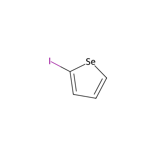 Ic1ccc[se]1